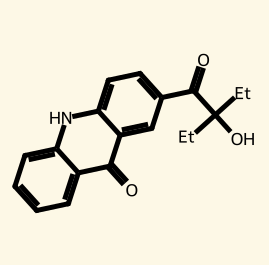 CCC(O)(CC)C(=O)c1ccc2[nH]c3ccccc3c(=O)c2c1